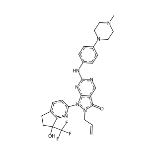 C=CCn1c(=O)c2cnc(Nc3ccc(N4CCN(C)CC4)cc3)nc2n1-c1ccc2c(n1)C(O)(C(F)(F)F)CC2